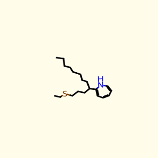 CCCCCCCCC(CCCSCC)C1=CC=CC=CN1